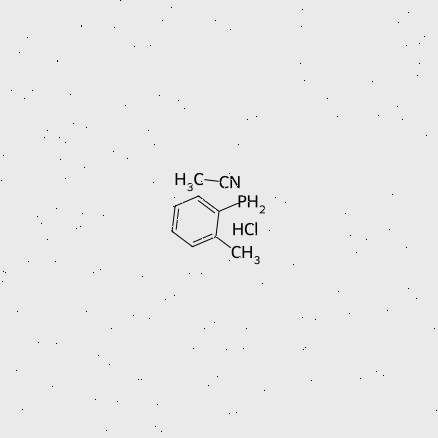 CC#N.Cc1ccccc1P.Cl